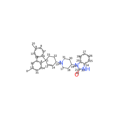 Cc1ccc(C2(c3ccc(C)cc3)C=CC(N3CCC(n4c(=O)[nH]c5ccccc54)CC3)CC2)cc1